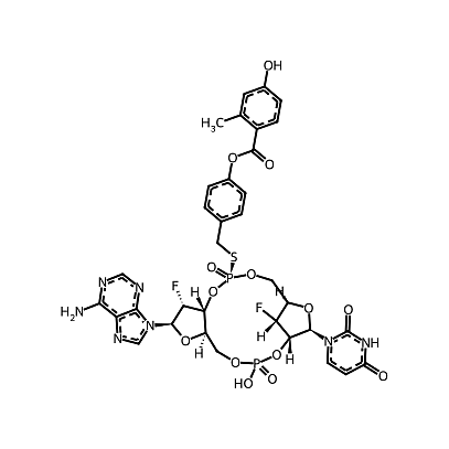 Cc1cc(O)ccc1C(=O)Oc1ccc(CS[P@@]2(=O)OC[C@H]3O[C@@H](n4ccc(=O)[nH]c4=O)[C@H](OP(=O)(O)OC[C@H]4O[C@@H](n5cnc6c(N)ncnc65)[C@H](F)[C@@H]4O2)[C@@H]3F)cc1